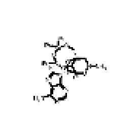 CC(C)[Si]1(C(C)C)OC[C@]23CN(C)O[C@@H](C2O[Si](C(C)C)(C(C)C)O1)[C@H](n1cnc2c(N)ncnc21)O3